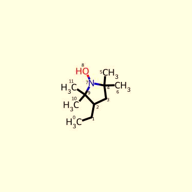 CCC1CC(C)(C)N(O)C1(C)C